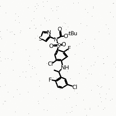 CC(Nc1cc(F)c(S(=O)(=O)N(C(=O)OC(C)(C)C)c2cscn2)cc1Cl)c1cc(Cl)ccc1F